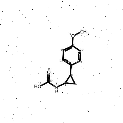 COc1ccc(C2CC2NC(=O)O)cc1